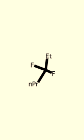 CCCC(F)(F)CC